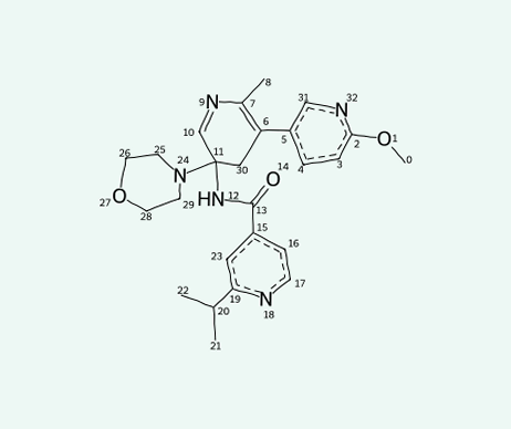 COc1ccc(C2=C(C)N=CC(NC(=O)c3ccnc(C(C)C)c3)(N3CCOCC3)C2)cn1